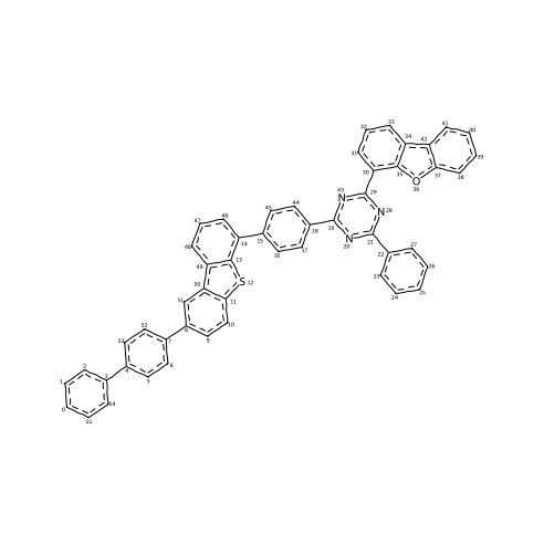 c1ccc(-c2ccc(-c3ccc4sc5c(-c6ccc(-c7nc(-c8ccccc8)nc(-c8cccc9c8oc8ccccc89)n7)cc6)cccc5c4c3)cc2)cc1